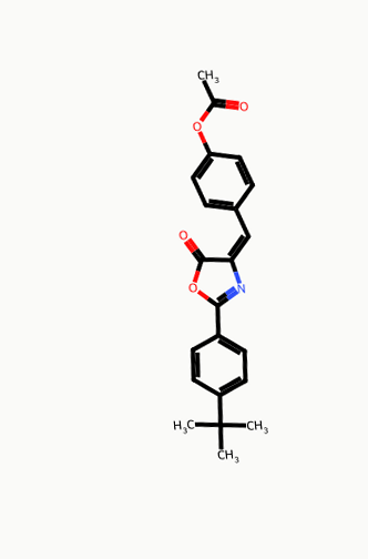 CC(=O)Oc1ccc(C=C2N=C(c3ccc(C(C)(C)C)cc3)OC2=O)cc1